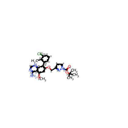 COc1cc(OCc2ccn(C(=O)OC(C)(C)C)n2)c(-c2cccc(Cl)c2C)c2ncnc(N)c12